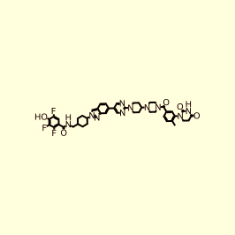 Cc1ccc(C(=O)N2CCN(C3CCN(c4ncc(-c5ccc6cn(C7CCC(CNC(=O)c8cc(F)c(O)c(F)c8F)CC7)nc6c5)cn4)CC3)CC2)cc1N1CCC(=O)NC1=O